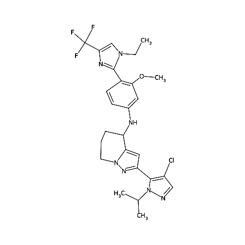 CCn1cc(C(F)(F)F)nc1-c1ccc(NC2CCCn3nc(-c4c(Cl)cnn4C(C)C)cc32)cc1OC